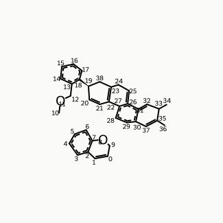 C1=Cc2ccccc2OC1.COCc1ccccc1[C@@H]1C=CC2=C(CC=c3c2ccc2c3=CC(C)C(C)=C2)C1